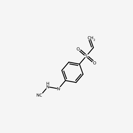 C=CS(=O)(=O)c1ccc([N]NC#N)cc1